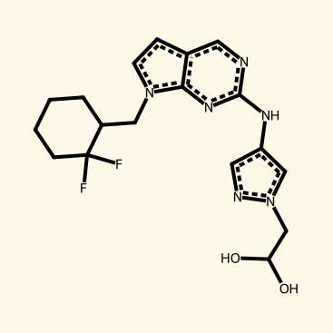 OC(O)Cn1cc(Nc2ncc3ccn(CC4CCCCC4(F)F)c3n2)cn1